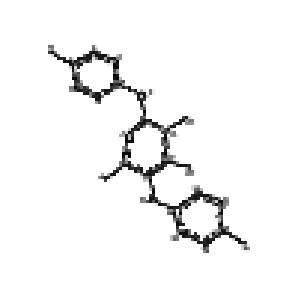 Cc1ccc(Oc2cc(C)c(Oc3ccc(C)cc3)c(C)c2C)cc1